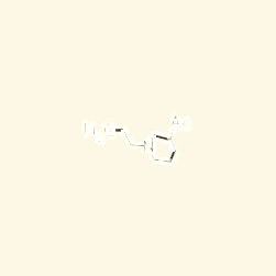 C=CCN1C=C(C(C)=O)C=CC1